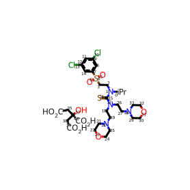 CC(C)N(CCS(=O)(=O)c1cc(Cl)cc(Cl)c1)C(=S)N(CCN1CCOCC1)CCN1CCOCC1.O=C(O)CC(O)(CC(=O)O)C(=O)O